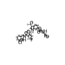 CC(=O)c1cn(CC(=O)N2C[C@H](F)C[C@H]2C(=O)NCc2cccc(Cl)c2F)c2cc(OC(=O)NCCP=O)ccc12